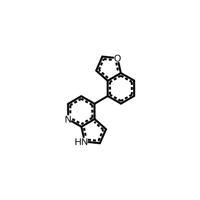 c1cc(-c2ccnc3[nH]ccc23)c2ccoc2c1